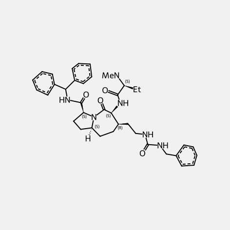 CC[C@H](NC)C(=O)N[C@@H]1C(=O)N2[C@@H](CC[C@@H]1CCNC(=O)NCc1ccccc1)CC[C@H]2C(=O)NC(c1ccccc1)c1ccccc1